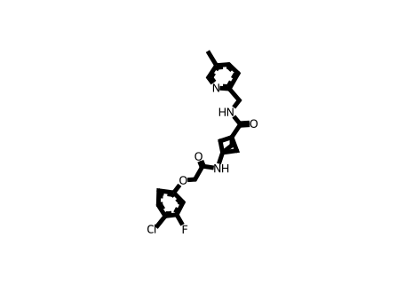 Cc1ccc(CNC(=O)C23CC(NC(=O)COc4ccc(Cl)c(F)c4)(C2)C3)nc1